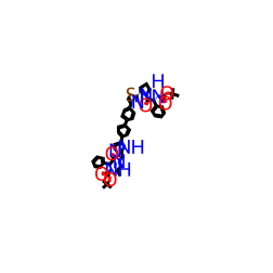 CCCN(Cc1ncc(-c2ccc(-c3ccc(-c4csc([C@@H]5CCCN5C(=O)[C@H](NC(=O)OC(C)(C)C)c5ccccc5)n4)cc3)cc2)[nH]1)C(=O)[C@H](NC(=O)OC(C)(C)C)c1ccccc1